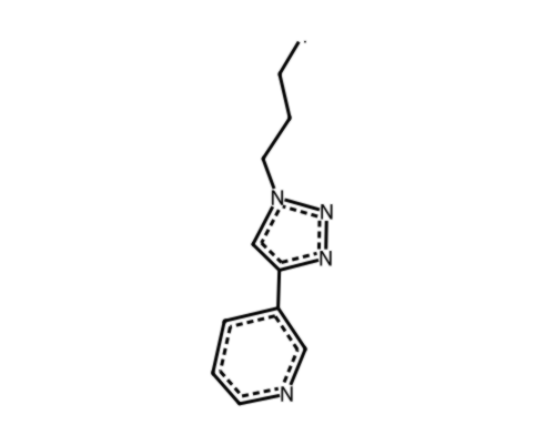 [CH2]CCCn1cc(-c2cccnc2)nn1